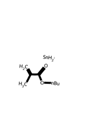 C=C(C)C(=O)OCCCC.[SnH2]